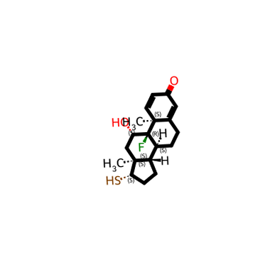 C[C@]12C[C@H](O)[C@@]3(F)[C@@H](CCC4=CC(=O)C=C[C@@]43C)[C@@H]1CC[C@@H]2S